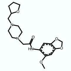 COc1cc2c(cc1NC(=O)CN1CCN(CC3CCCO3)CC1)OCO2